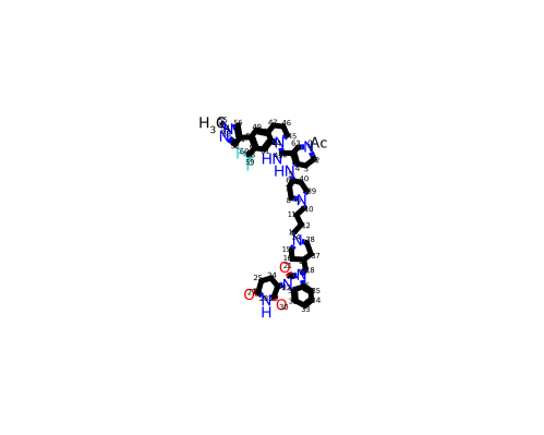 CC(=O)N1CCC(NC2CCN(CCCCN3CCC(Cn4c(=O)n(C5CCC(=O)NC5=O)c5ccccc54)CC3)CC2)=C(C(=N)N2CCCc3cc(-c4cnn(C)c4)c(C(F)F)cc32)C1